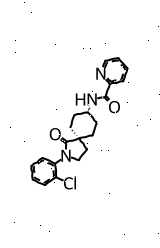 O=C(N[C@H]1CC[C@@]2(CCN(c3ccccc3Cl)C2=O)CC1)c1ccccn1